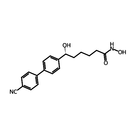 N#Cc1ccc(-c2ccc([C@H](O)CCCCC(=O)NO)cc2)cc1